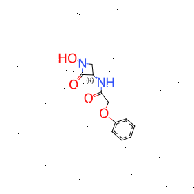 O=C(COc1ccccc1)N[C@@H]1CN(O)C1=O